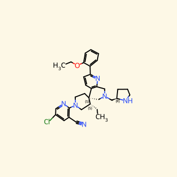 CCOc1ccccc1-c1ccc2c(n1)CN(C[C@H]1CCCN1)C[C@]21CCN(c2ncc(Cl)cc2C#N)C[C@H]1CC